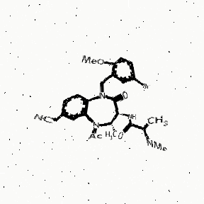 CNC(C)C(=O)N[C@@H]1C(=O)N(Cc2cc(Br)ccc2OC)c2ccc(C#N)cc2N(C(C)=O)[C@H]1C